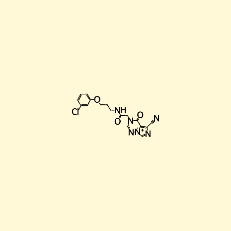 N#CC1=C2C(=O)N(CC(=O)NCCCOc3cccc(Cl)c3)C=N[N+]2C=N1